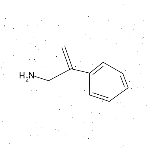 C=C(CN)c1ccccc1